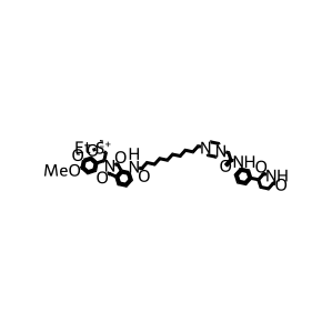 CCOc1cc(C(C[S+](C)[O-])N2C(=O)c3cccc(NC(=O)CCCCCCCCCN4CCN(CC(=O)Nc5cccc(C6CCC(=O)NC6=O)c5)CC4)c3C2=O)ccc1OC